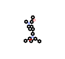 c1ccc(-c2ccc(N(c3ccc(-c4ccc5ccc6c(N(c7ccccc7)c7ccc8oc9ccccc9c8c7)ccc7ccc4c5c76)cc3)c3ccc(-c4ccccc4)cc3-c3ccccc3)cc2)cc1